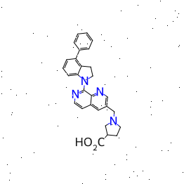 O=C(O)C1CCN(Cc2cnc3c(N4CCc5c(-c6ccccc6)cccc54)nccc3c2)C1